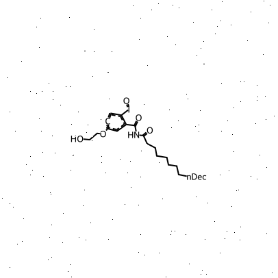 CCCCCCCCCCCCCCCCCC(=O)NC(=O)c1cc(OCCO)ccc1I=O